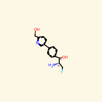 N[C@H](CF)[C@H](O)c1ccc(-c2ccc(CO)nc2)cc1